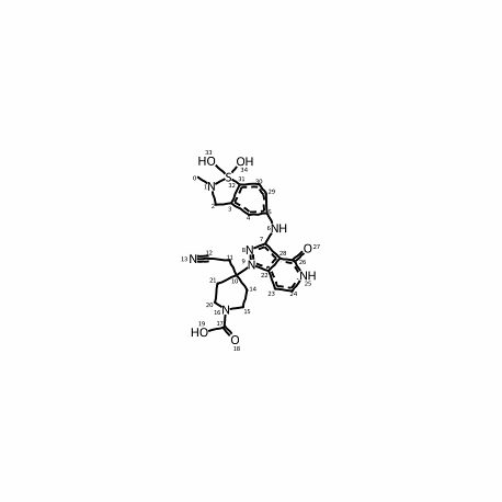 CN1Cc2cc(Nc3nn(C4(CC#N)CCN(C(=O)O)CC4)c4cc[nH]c(=O)c34)ccc2S1(O)O